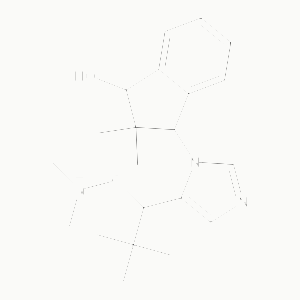 C[SiH](C)OC(c1cncn1C1c2ccccc2C(O)C1(C)C)C(C)(C)C